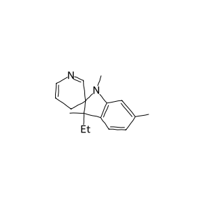 CCC1(C)c2ccc(C)cc2N(C)C12C=NC=CC2